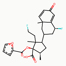 C[C@@H]1CC(C2C[C@H](F)C3=CC(=O)C=CC3(C)C2)C(C)(CCF)[C@@]1(OC(=O)c1ccco1)C(=O)O